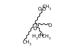 CCCCCCCCCCC(CCCCCCC(=O)OC)N(CCCCC=O)C(=O)CCCN(C)C